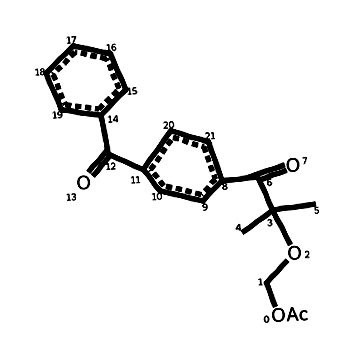 CC(=O)OCOC(C)(C)C(=O)c1ccc(C(=O)c2ccccc2)cc1